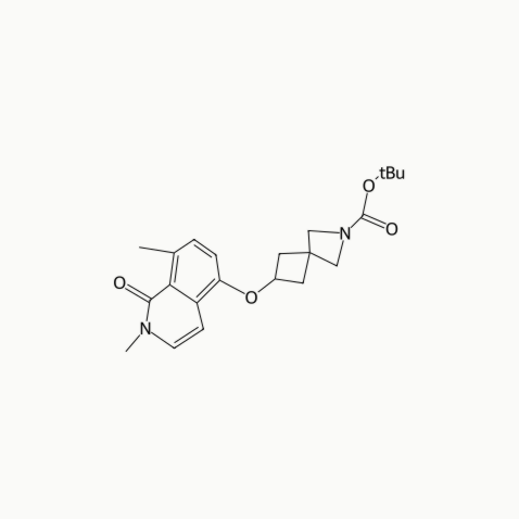 Cc1ccc(OC2CC3(C2)CN(C(=O)OC(C)(C)C)C3)c2ccn(C)c(=O)c12